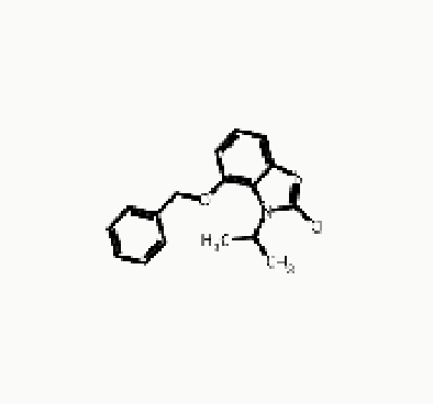 CC(C)n1c(Cl)nc2cccc(OCc3ccccc3)c21